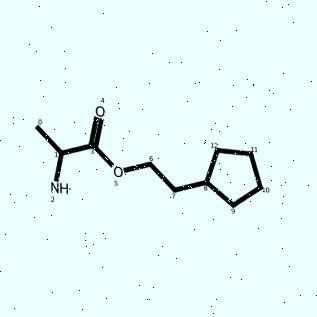 CC([NH])C(=O)OCCC1CCCC1